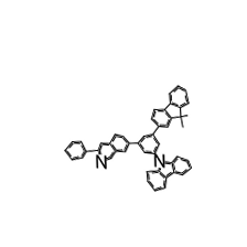 CC1(C)c2ccccc2-c2ccc(-c3cc(-c4ccc5cc(-c6ccccc6)ncc5c4)cc(-n4c5ccccc5c5ccccc54)c3)cc21